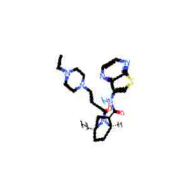 CCN1CCN(CCC(=O)N2[C@H]3CC[C@@H]2[C@H](C(=O)Nc2csc4nccnc24)C3)CC1